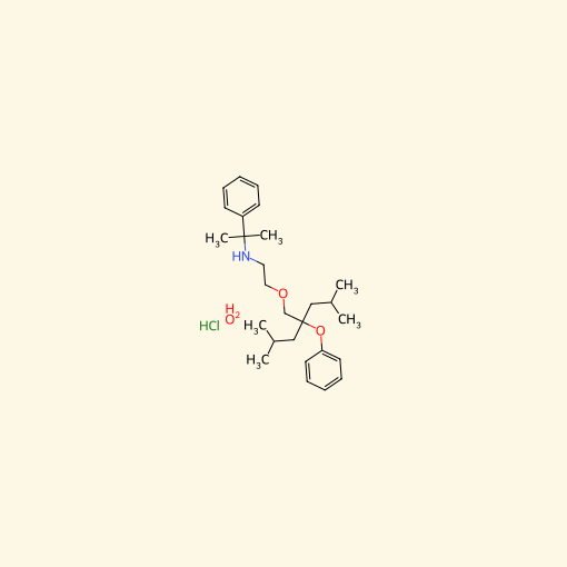 CC(C)CC(COCCNC(C)(C)c1ccccc1)(CC(C)C)Oc1ccccc1.Cl.O